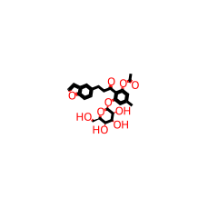 CC(=O)Oc1cc(C)cc(O[C@@H]2O[C@H](CO)[C@@H](O)[C@H](O)[C@H]2O)c1C(=O)CCc1ccc2occc2c1